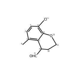 Cc1ccc(Cl)c2c1C(C=O)CCO2